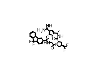 C[C@@H](NC(=O)[C@@H]1CC(=C(F)F)CN1C(=O)CNC(=O)c1ccc2c(c1)-c1ccccc1C2(F)F)c1cc(C(=N)N)cs1